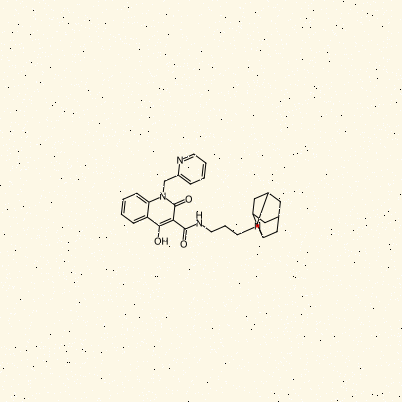 O=C(NCCCN1C2CC3CC(C2)CC1C3)c1c(O)c2ccccc2n(Cc2ccccn2)c1=O